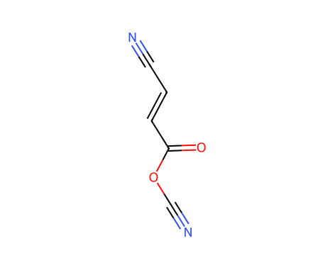 N#CC=CC(=O)OC#N